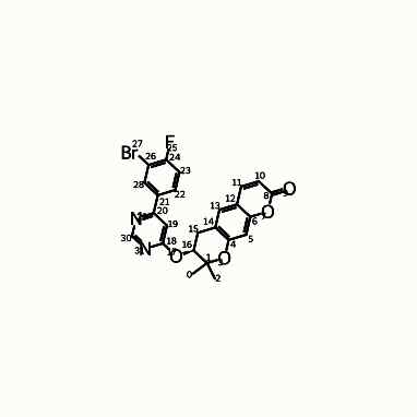 CC1(C)Oc2cc3oc(=O)ccc3cc2C[C@@H]1Oc1cc(-c2ccc(F)c(Br)c2)ncn1